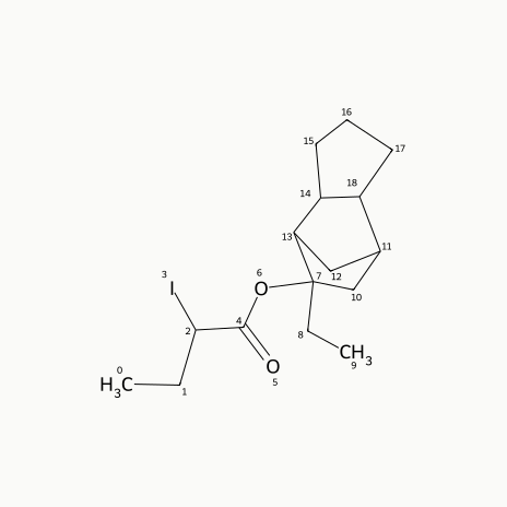 CCC(I)C(=O)OC1(CC)CC2CC1C1CCCC21